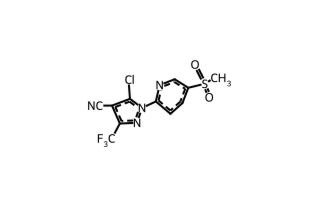 CS(=O)(=O)c1ccc(-n2nc(C(F)(F)F)c(C#N)c2Cl)nc1